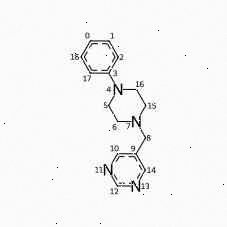 c1ccc(N2CCN(Cc3cncnc3)CC2)cc1